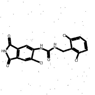 O=C(NCc1c(Cl)cccc1Cl)Nc1cc2c(cc1Cl)C(=O)NC2=O